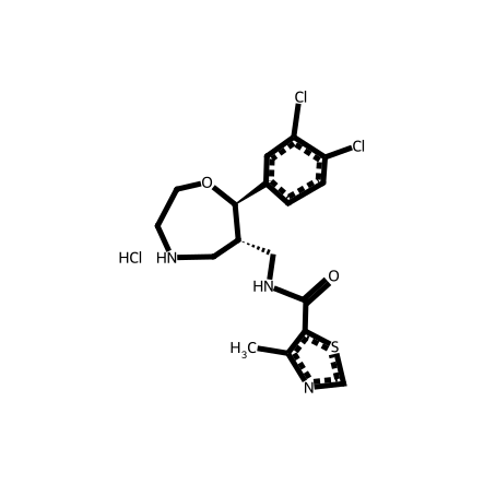 Cc1ncsc1C(=O)NC[C@@H]1CNCCO[C@H]1c1ccc(Cl)c(Cl)c1.Cl